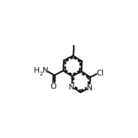 Cc1cc(C(N)=O)c2ncnc(Cl)c2c1